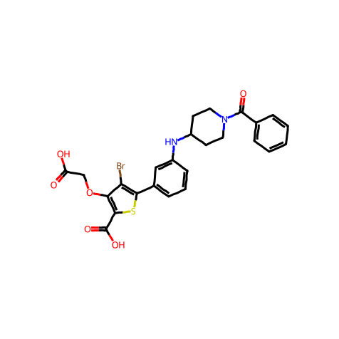 O=C(O)COc1c(C(=O)O)sc(-c2cccc(NC3CCN(C(=O)c4ccccc4)CC3)c2)c1Br